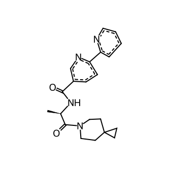 C[C@@H](NC(=O)c1ccc(-c2ccccn2)nc1)C(=O)N1CCC2(CC1)CC2